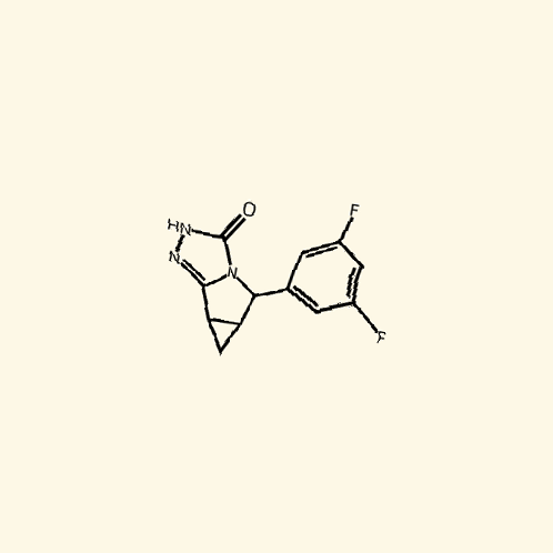 O=c1[nH]nc2n1C(c1cc(F)cc(F)c1)C1CC21